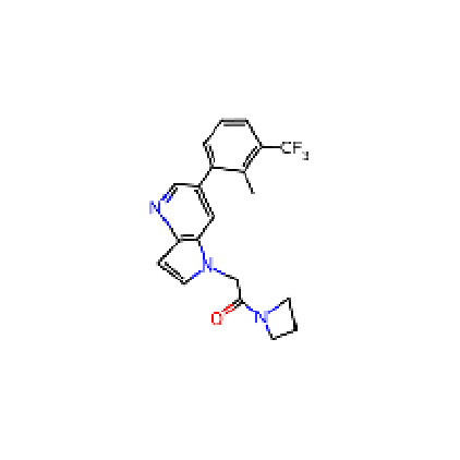 Cc1c(-c2cnc3ccn(CC(=O)N4CCC4)c3c2)cccc1C(F)(F)F